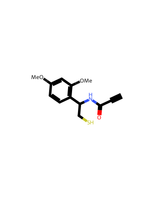 C#CC(=O)NC(CS)c1ccc(OC)cc1OC